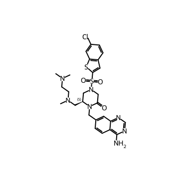 CN(C)CCN(C)C[C@H]1CN(S(=O)(=O)c2cc3ccc(Cl)cc3s2)CC(=O)N1Cc1ccc2c(N)ncnc2c1